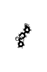 O=C(c1ccccc1)N1CCC(c2cccc(Br)c2)CC1